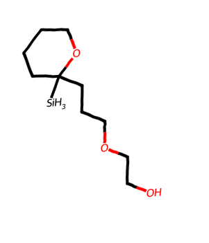 OCCOCCCC1([SiH3])CCCCO1